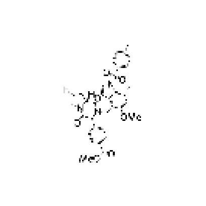 COC(=O)c1ccc(C2C(=O)N3C[C@@H](F)C[C@@H]3C(=O)N2Cc2c(OC)cc(C)c3c2ccn3S(=O)(=O)c2ccc(C)cc2)cc1